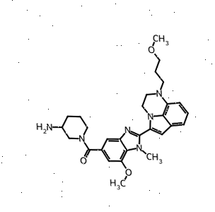 COCCCN1CCn2c(-c3nc4cc(C(=O)N5CCCC(N)C5)cc(OC)c4n3C)cc3cccc1c32